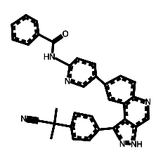 CC(C)(C#N)c1ccc(-c2n[nH]c3cnc4ccc(-c5ccc(NC(=O)c6ccccc6)nc5)cc4c23)cc1